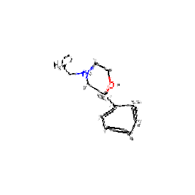 CCN1CCO[C@@H](c2ccccc2)C1